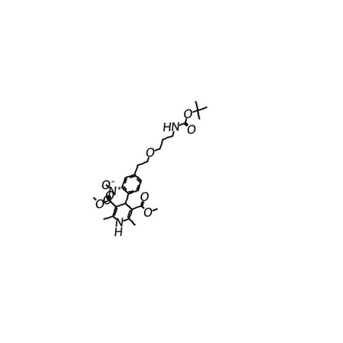 COC(=O)C1=C(C)NC(C)=C(C(=O)OC)C1c1ccc(CCOCCCNC(=O)OC(C)(C)C)cc1[N+](=O)[O-]